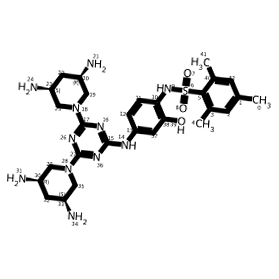 Cc1cc(C)c(S(=O)(=O)Nc2ccc(Nc3nc(N4C[C@H](N)C[C@H](N)C4)nc(N4C[C@H](N)C[C@H](N)C4)n3)cc2O)c(C)c1